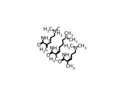 C=C(CCCN(C)C)C(N)=O.CC(=CCCCN(C)C)C(N)=O.CC(=CCCN(C)C)C(N)=O